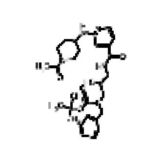 CC(=O)N1CCC(Nc2cc(C(=O)NC[C@H](O)CN(Cc3ccccc3)C(=O)OC(C)(C)C)ccn2)CC1